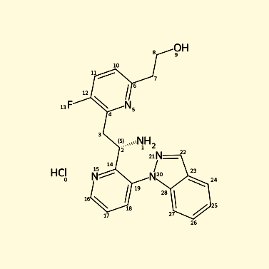 Cl.N[C@@H](Cc1nc(CCO)ccc1F)c1ncccc1-n1ncc2ccccc21